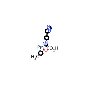 CC(C)N(c1nn(-c2ccc(-c3ccc4nccn4c3)cc2)cc1C(=O)O)C(=O)[C@H]1CC[C@H](C)CC1